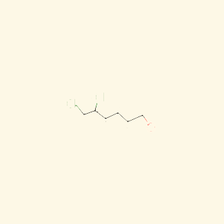 [O]CCCCC(Cl)CCl